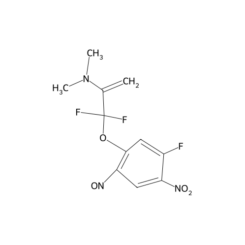 C=C(N(C)C)C(F)(F)Oc1cc(F)c([N+](=O)[O-])cc1N=O